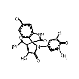 CC(C)C(=O)C1=C(O)C(=O)N(c2cc(Cl)c(=O)n(C)c2)C12C(=O)Nc1cc(Cl)ccc12